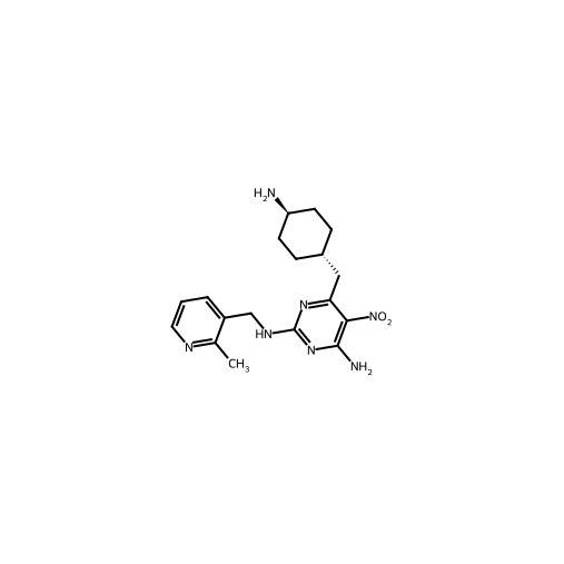 Cc1ncccc1CNc1nc(N)c([N+](=O)[O-])c(C[C@H]2CC[C@H](N)CC2)n1